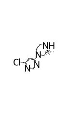 C[C@@H]1CN(c2cc(Cl)ncn2)CCN1